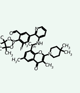 Cc1cc([C@@H](C)Nc2cccnc2-c2cc(F)c(B3OC(C)(C)C(C)(C)O3)c(C=O)c2)c2oc(N3CCC(C)(C)CC3)c(C)c(=O)c2c1